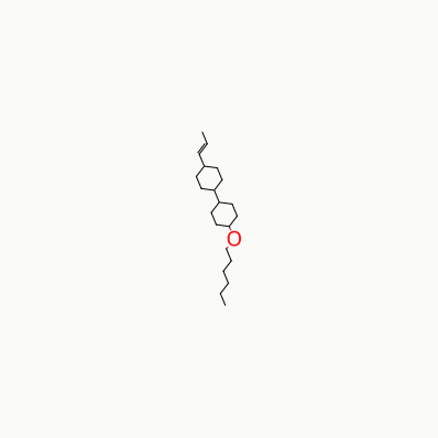 CC=CC1CCC(C2CCC(OCCCCCC)CC2)CC1